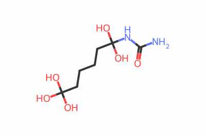 NC(=O)NC(O)(O)CCCCC(O)(O)O